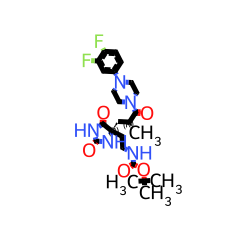 C[C@H](C[C@]1(CCNC(=O)OC(C)(C)C)NC(=O)NC1=O)C(=O)N1CCN(c2ccc(F)c(F)c2)CC1